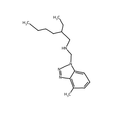 CCCCC(CC)CNCn1nnc2c(C)cccc21